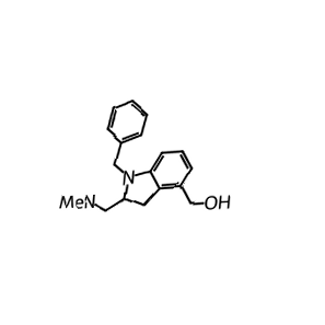 CNCC1Cc2c(CO)cccc2N1Cc1ccccc1